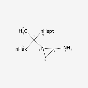 CCCCCCCC(C)(CCCCCC)N1CC1N